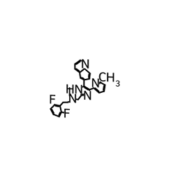 Cc1cccc(-c2nc(CN(I)CCc3c(F)cccc3F)[nH]c2-c2ccc3ncccc3c2)n1